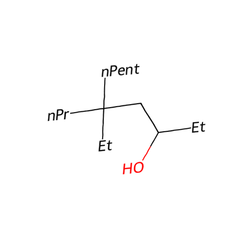 CCCCCC(CC)(CCC)CC(O)CC